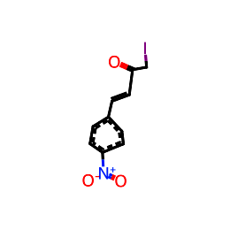 O=C(C=Cc1ccc([N+](=O)[O-])cc1)CI